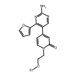 CCOCCn1ccc(-c2cnc(N)nc2-c2ccco2)cc1=O